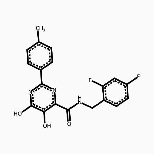 Cc1ccc(-c2nc(O)c(O)c(C(=O)NCc3ccc(F)cc3F)n2)cc1